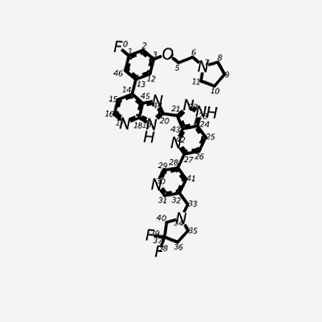 Fc1cc(OCCN2CCCC2)cc(-c2ccnc3[nH]c(-c4n[nH]c5ccc(-c6cncc(CN7CCC(F)(F)C7)c6)nc45)nc23)c1